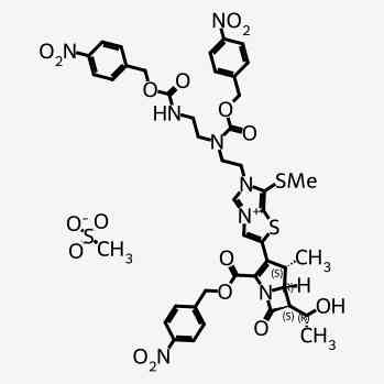 CS(=O)(=O)[O-].CSc1c2sc(C3=C(C(=O)OCc4ccc([N+](=O)[O-])cc4)N4C(=O)[C@H]([C@@H](C)O)[C@H]4[C@H]3C)c[n+]2cn1CCN(CCNC(=O)OCc1ccc([N+](=O)[O-])cc1)C(=O)OCc1ccc([N+](=O)[O-])cc1